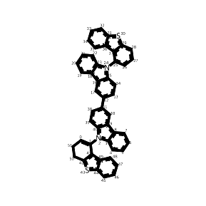 C1=C(n2c3ccccc3c3cc(-c4ccc5c(c4)c4ccccc4n5-c4cccc5sc6ccccc6c45)ccc32)c2c(sc3ccccc23)CC1